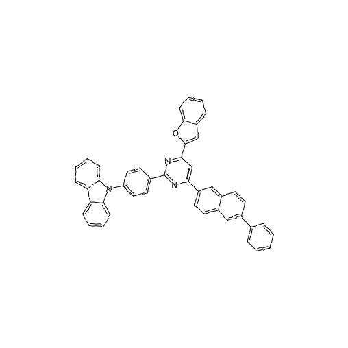 c1ccc(-c2ccc3cc(-c4cc(-c5cc6ccccc6o5)nc(-c5ccc(-n6c7ccccc7c7ccccc76)cc5)n4)ccc3c2)cc1